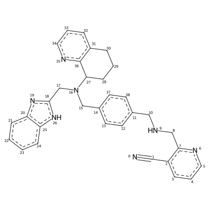 N#Cc1cccnc1CNCc1ccc(CN(Cc2nc3ccccc3[nH]2)C2CCCc3cccnc32)cc1